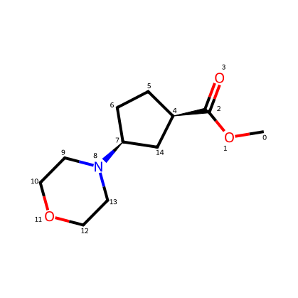 COC(=O)[C@@H]1CC[C@H](N2CCOCC2)C1